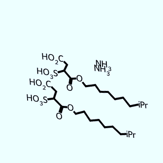 CC(C)CCCCCCCOC(=O)C(CC(=O)O)S(=O)(=O)O.CC(C)CCCCCCCOC(=O)C(CC(=O)O)S(=O)(=O)O.N.N